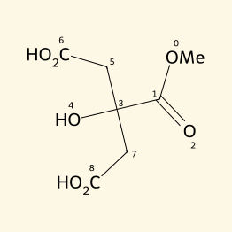 COC(=O)C(O)(CC(=O)O)CC(=O)O